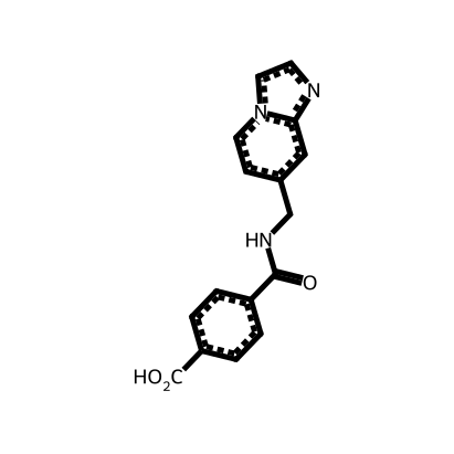 O=C(O)c1ccc(C(=O)NCc2ccn3ccnc3c2)cc1